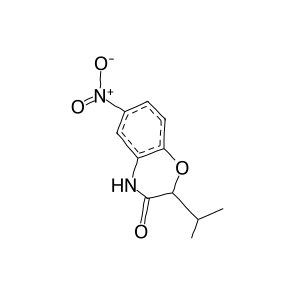 CC(C)C1Oc2ccc([N+](=O)[O-])cc2NC1=O